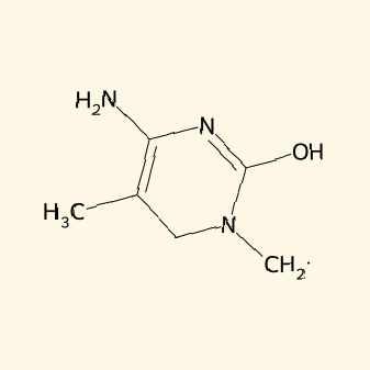 [CH2]N1CC(C)=C(N)N=C1O